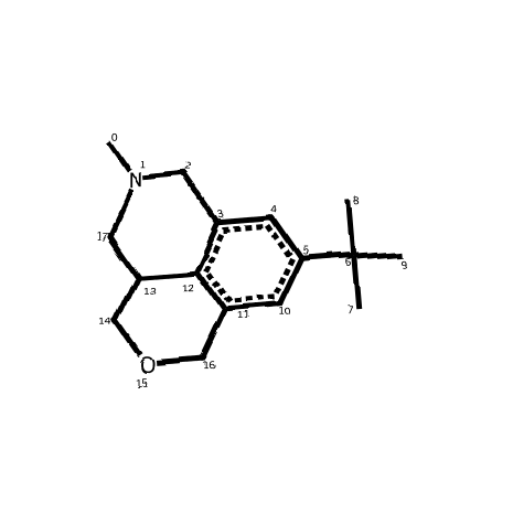 CN1Cc2cc(C(C)(C)C)cc3c2C(COC3)C1